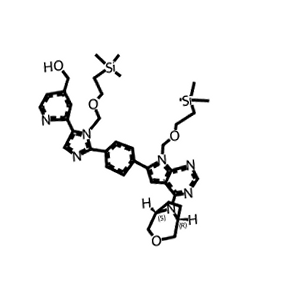 C[Si](C)(C)CCOCn1c(-c2cc(CO)ccn2)cnc1-c1ccc(-c2cc3c(N4[C@@H]5CC[C@H]4COC5)ncnc3n2COCC[Si](C)(C)C)cc1